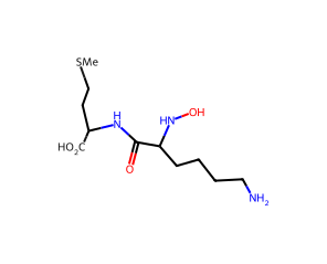 CSCCC(NC(=O)C(CCCCN)NO)C(=O)O